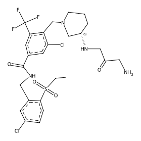 CCS(=O)(=O)c1ccc(Cl)cc1CNC(=O)c1cc(Cl)c(CN2CCC[C@H](NCC(=O)CN)C2)c(C(F)(F)F)c1